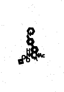 CC(=O)N1c2ccc(-c3ccc(CN4CCCCC4)cc3)cc2[C@@H](NC(=O)OC2CCC2)C[C@H]1C